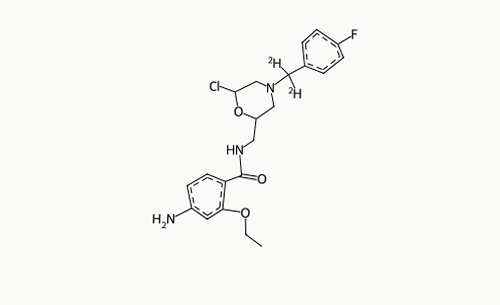 [2H]C([2H])(c1ccc(F)cc1)N1CC(Cl)OC(CNC(=O)c2ccc(N)cc2OCC)C1